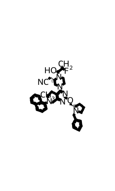 C=C(F)C(O)N1CCN(c2nc(OC[C@@H]3CCCN3Cc3ccccc3)nc3c2CCN(c2cccc4cccc(C)c24)C3)C[C@@H]1CC#N